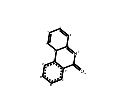 O=C1N=C2C=CC=CC2c2ccccc21